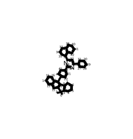 CC1(C)c2ccccc2-c2c1cc1ccccc1c2-c1ccc(-c2nc(-c3ccccc3)cc(-c3cccc4ccccc34)n2)cc1